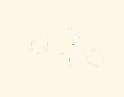 CCC/N=C1\S/C(=C\c2ccc(O)cc2)C(=O)N1c1ccccc1C